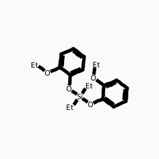 CCOc1ccccc1O[Si](CC)(CC)Oc1ccccc1OCC